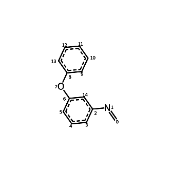 C=Nc1cccc(Oc2ccccc2)c1